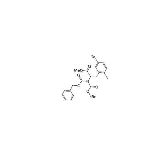 COC(=O)[C@H](Cc1cc(Br)ccc1F)N(C(=O)OCc1ccccc1)C(=O)OC(C)(C)C